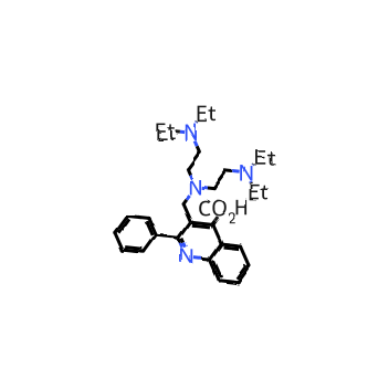 CCN(CC)CCN(CCN(CC)CC)Cc1c(-c2ccccc2)nc2ccccc2c1C(=O)O